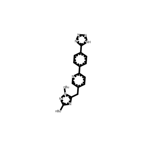 CCCCc1nc(Cc2ccc(-c3ccc(-c4nnn[nH]4)cc3)nc2)n(CCCC)n1